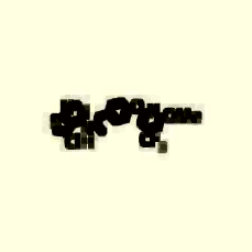 COc1cc(C(F)(F)F)cc(Oc2ccc(CC(C)Nc3ncnc4scc(Cl)c34)cc2)n1